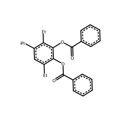 CCc1cc(C(C)C)c(CC)c(OC(=O)c2ccccc2)c1OC(=O)c1ccccc1